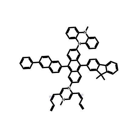 C=C/C=C\C1=CN(c2ccc3c(-c4ccc5c(c4)C(C)(C)c4ccccc4-5)c4cc(N5c6ccccc6N(C)c6ccccc65)ccc4c(-c4ccc5cc(-c6ccccc6)ccc5c4)c3c2)C(/C=C\C=C)=CN1C